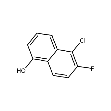 Oc1cccc2c(Cl)c(F)ccc12